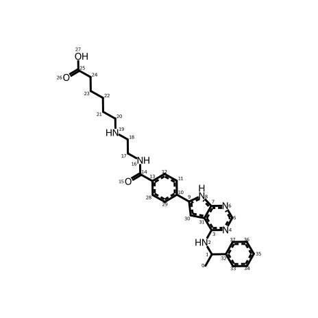 CC(Nc1ncnc2[nH]c(-c3ccc(C(=O)NCCNCCCCCC(=O)O)cc3)cc12)c1ccccc1